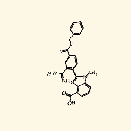 Cn1c(-c2ccc(C(=O)OCc3ccccc3)cc2C(=N)N)nc2c(C(=O)O)cccc21